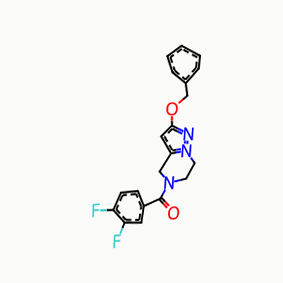 O=C(c1ccc(F)c(F)c1)N1CCn2nc(OCc3ccccc3)cc2C1